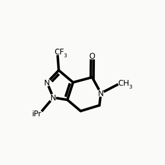 CC(C)n1nc(C(F)(F)F)c2c1CCN(C)C2=O